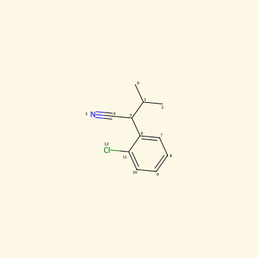 CC(C)C(C#N)c1ccccc1Cl